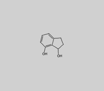 Oc1cccc2c1C(O)CC2